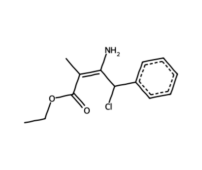 CCOC(=O)C(C)=C(N)C(Cl)c1ccccc1